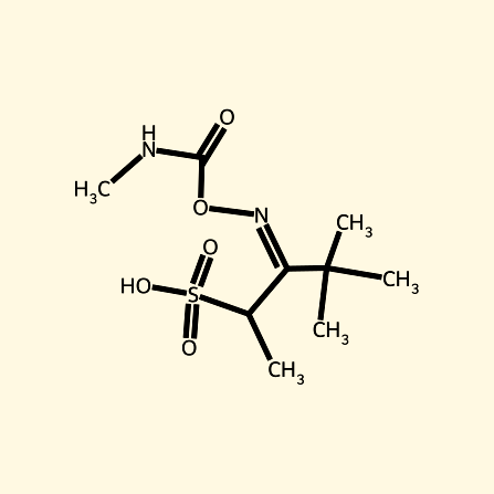 CNC(=O)ON=C(C(C)S(=O)(=O)O)C(C)(C)C